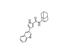 O=C(NC1C2CC3CC(C2)CC1C3)c1cc(-c2cnc3ccccc3c2)c[nH]1